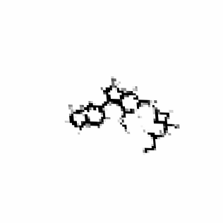 CCC(=O)N[C@]1(C)C[C@@H](Nc2nc(OC)c3c(-c4ccc5ncnn5c4)c[nH]c3n2)C1